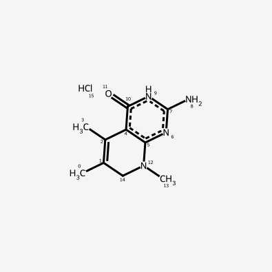 CC1=C(C)c2c(nc(N)[nH]c2=O)N(C)C1.Cl